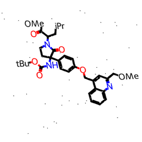 COCc1cc(COc2ccc(C3(NC(=O)OC(C)(C)C)CCN(C(CC(C)C)C(=O)OC)C3=O)cc2)c2ccccc2n1